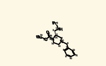 CC(C)NC[C@@H]1CN(Cc2ccccc2)CCN1C(=O)OC(C)(C)C